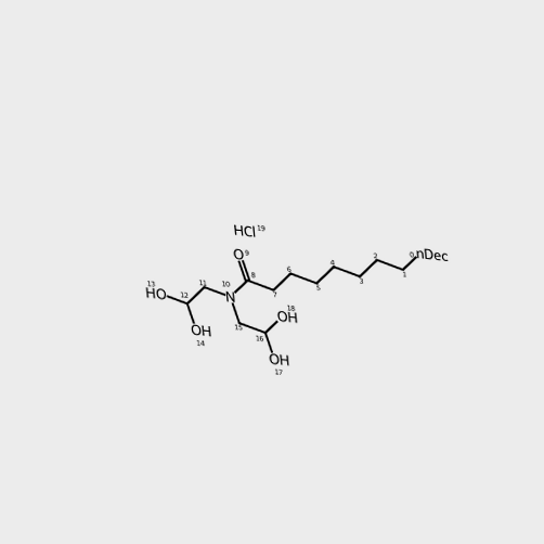 CCCCCCCCCCCCCCCCCC(=O)N(CC(O)O)CC(O)O.Cl